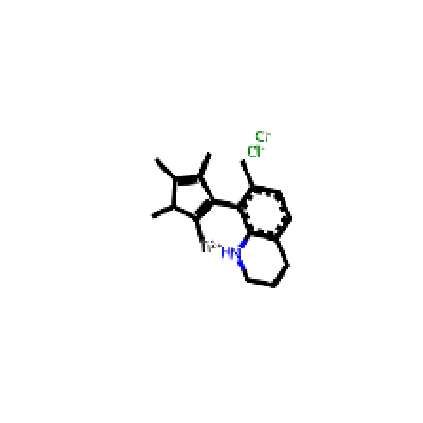 CC1=C(C)C(C)[C]([Ti+2])=C1c1c(C)ccc2c1NCCC2.[Cl-].[Cl-]